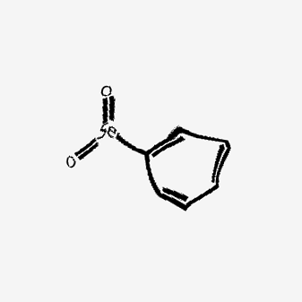 O=[Se](=O)c1ccccc1